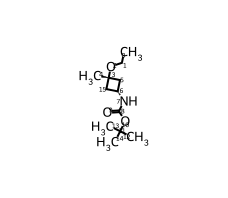 CCO[C@]1(C)C[C@H](NC(=O)OC(C)(C)C)C1